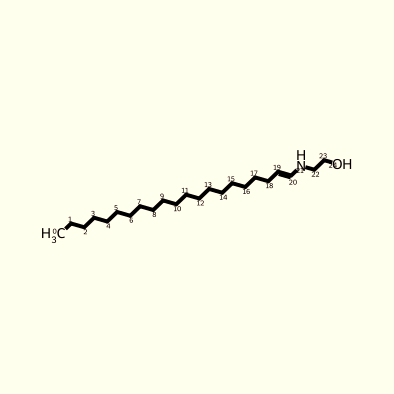 CCCCCCCCCCCCCCCCCCCC=CNCCO